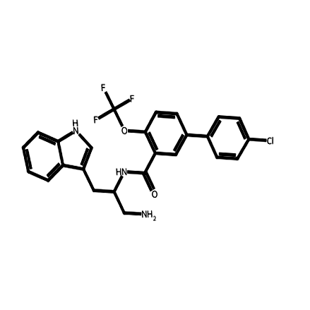 NCC(Cc1c[nH]c2ccccc12)NC(=O)c1cc(-c2ccc(Cl)cc2)ccc1OC(F)(F)F